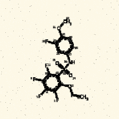 CCOc1c(F)c(F)c(F)c(F)c1S(=O)(=O)Nc1ccc(OC)c(F)c1